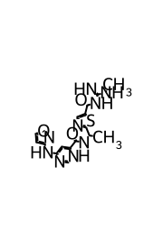 CNC(=N)NC(=O)c1cnc(C(C)NC(=O)c2cc(Nc3ccon3)ncn2)s1